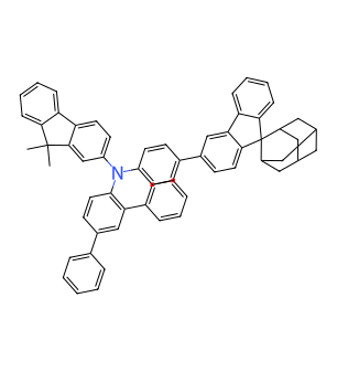 CC1(C)c2ccccc2-c2ccc(N(c3ccc(-c4ccc5c(c4)-c4ccccc4C54C5CC6CC(C5)CC4C6)cc3)c3ccc(-c4ccccc4)cc3-c3ccccc3)cc21